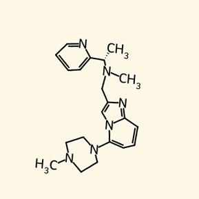 C[C@@H](c1ccccn1)N(C)Cc1cn2c(N3CCN(C)CC3)cccc2n1